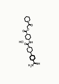 Cl.N=C(N)c1ccc(C2CCN(C(=O)N[C@H]3CC[C@H](C(=O)OCC(=O)N4CCCCC4)CC3)CC2)cc1